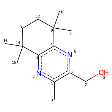 Cc1nc2c(nc1CO)C(C)(C)CCC2(C)C